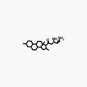 CC1CCC2C(CCC3C2CCC2(C)C3CC(C)C2C(=O)CN(N)/C=C\N)C1